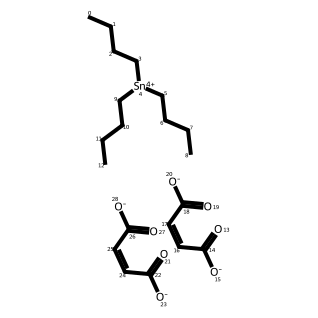 CCC[CH2][Sn+4]([CH2]CCC)[CH2]CCC.O=C([O-])/C=C\C(=O)[O-].O=C([O-])/C=C\C(=O)[O-]